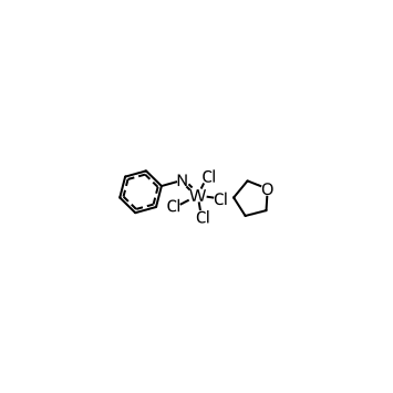 C1CCOC1.[Cl][W]([Cl])([Cl])([Cl])=[N]c1ccccc1